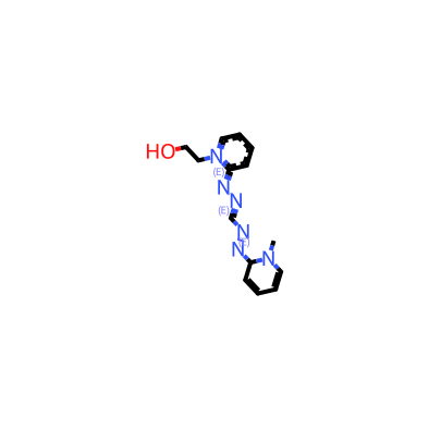 CN1C=CC=CC1/N=N/C=N/N=c1\ccccn1CCO